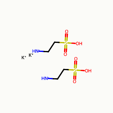 [K+].[K+].[NH-]CCS(=O)(=O)O.[NH-]CCS(=O)(=O)O